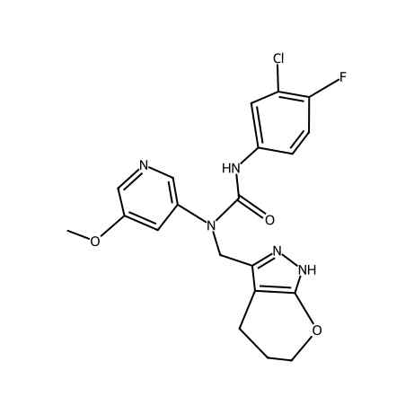 COc1cncc(N(Cc2n[nH]c3c2CCCO3)C(=O)Nc2ccc(F)c(Cl)c2)c1